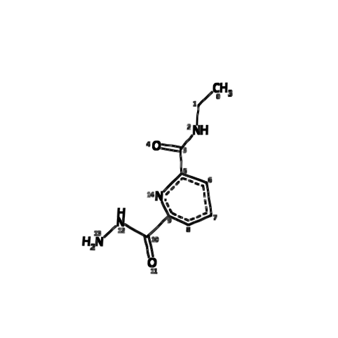 CCNC(=O)c1cccc(C(=O)NN)n1